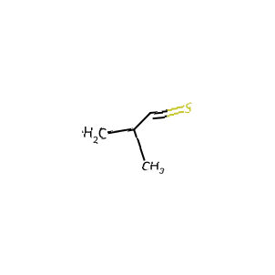 [CH2]C(C)C=S